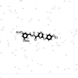 CCOc1ccc(Oc2cncc(C(=O)NN=Cc3cc(OC)cc(OC)c3)n2)cc1